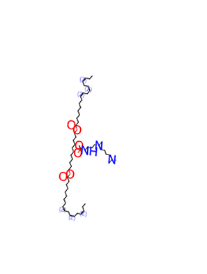 CC/C=C\C/C=C\C/C=C\CCCCCCCC(=O)OCCCCCC(CCCCCOC(=O)CCCCCCC/C=C\C/C=C\C/C=C\CC)OC(=O)NCCCN(C)CCCCN(C)C